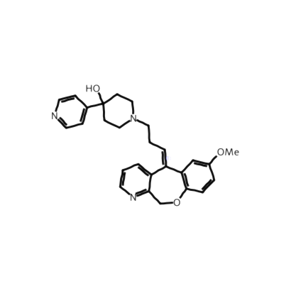 COc1ccc2c(c1)/C(=C/CCN1CCC(O)(c3ccncc3)CC1)c1cccnc1CO2